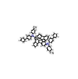 N#Cc1ccc(N(c2ccc(-c3ccccc3)cc2)c2ccc3c(c2)C2(c4ccccc4-c4ccccc42)c2c-3c3ccccc3c3cc(N(c4ccc(C#N)cc4)c4ccc(-c5ccccc5)cc4)ccc23)cc1